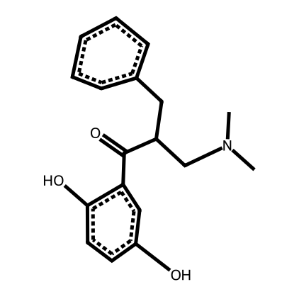 CN(C)CC(Cc1ccccc1)C(=O)c1cc(O)ccc1O